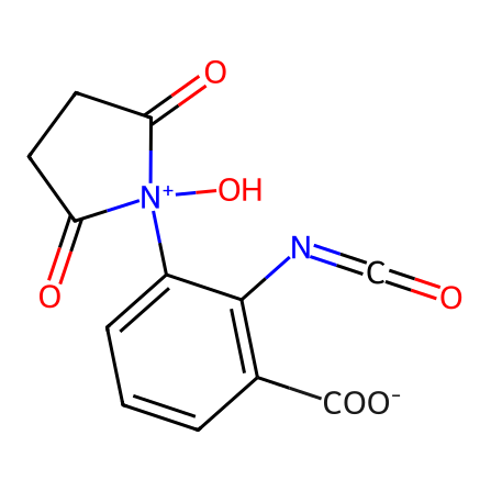 O=C=Nc1c(C(=O)[O-])cccc1[N+]1(O)C(=O)CCC1=O